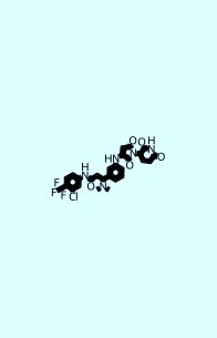 CN(C)C(CC(=O)Nc1ccc(C(F)(F)F)c(Cl)c1)c1cccc(NC2=CC(=O)N(C3CCC(=O)NC3=O)C2=O)c1